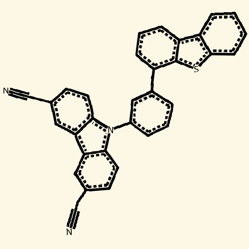 N#Cc1ccc2c(c1)c1cc(C#N)ccc1n2-c1cccc(-c2cccc3c2sc2ccccc23)c1